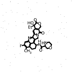 CC[C@@]1(O)C(=O)OCc2c1cc1n(c2=O)Cc2c-1nc1cc(F)c(C)c3c1c2[C@@H](NC(=O)C1COCCN1)CC3